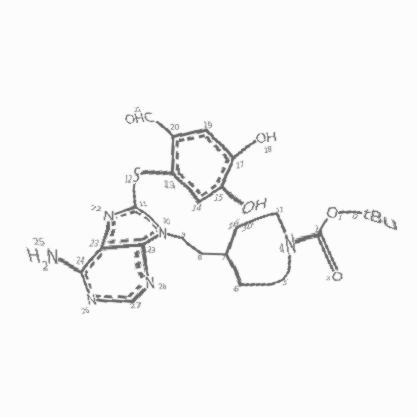 CC(C)(C)OC(=O)N1CCC(CCn2c(Sc3cc(O)c(O)cc3C=O)nc3c(N)ncnc32)CC1